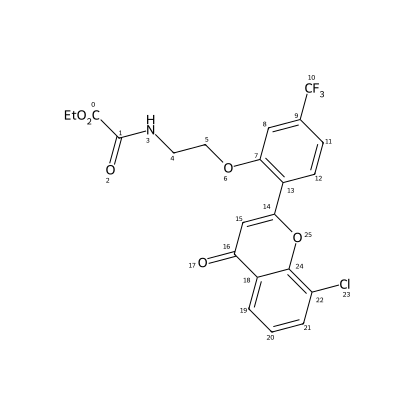 CCOC(=O)C(=O)NCCOc1cc(C(F)(F)F)ccc1-c1cc(=O)c2cccc(Cl)c2o1